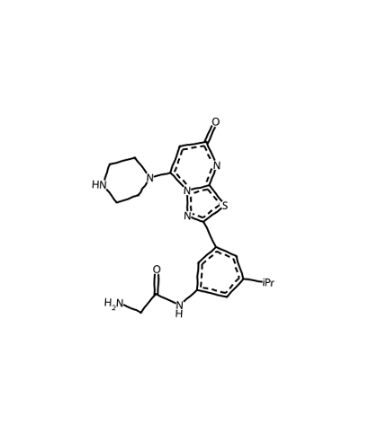 CC(C)c1cc(NC(=O)CN)cc(-c2nn3c(N4CCNCC4)cc(=O)nc3s2)c1